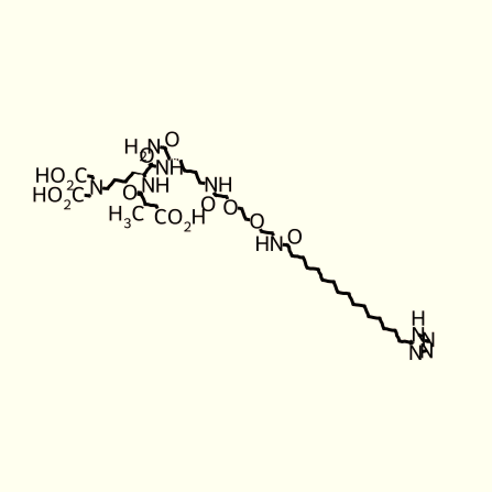 C[C@@H](CC(=O)O)C(=O)N[C@@H](CCCCN(CC(=O)O)CC(=O)O)C(=O)N[C@@H](CCCCNC(=O)COCCOCCNC(=O)CCCCCCCCCCCCCCCc1nnn[nH]1)C(N)=O